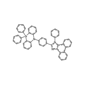 c1ccc(-n2c(-c3ccc(N4c5ccccc5[Si](c5ccccc5)(c5ccccc5)c5ccccc54)cc3)nc3c4ccccc4c4ccccc4c32)cc1